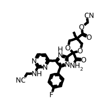 CC1(C(=O)OCC#N)COC(C(N)=O)(c2nc(-c3ccc(F)cc3)c(-c3ccnc(NCC#N)n3)[nH]2)OC1